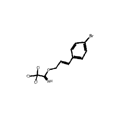 N=C(OC/C=C/c1ccc(Br)cc1)C(Cl)(Cl)Cl